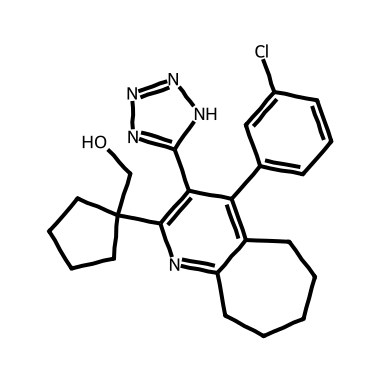 OCC1(c2nc3c(c(-c4cccc(Cl)c4)c2-c2nnn[nH]2)CCCCC3)CCCC1